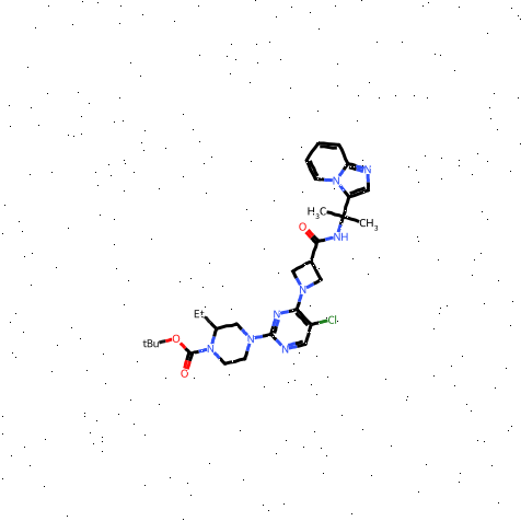 CCC1CN(c2ncc(Cl)c(N3CC(C(=O)NC(C)(C)c4cnc5ccccn45)C3)n2)CCN1C(=O)OC(C)(C)C